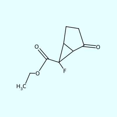 CCOC(=O)C1(F)C2CCC(=O)C21